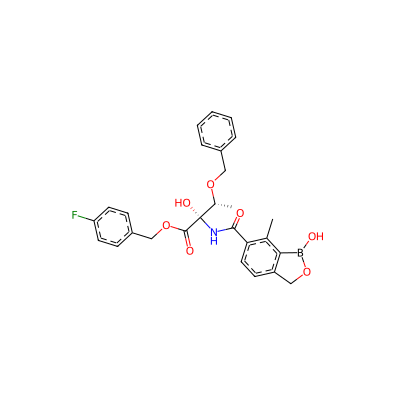 Cc1c(C(=O)N[C@@](O)(C(=O)OCc2ccc(F)cc2)[C@@H](C)OCc2ccccc2)ccc2c1B(O)OC2